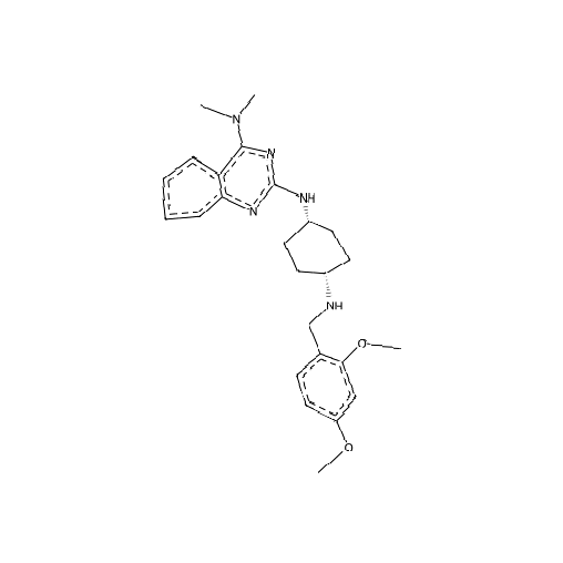 COc1ccc(CN[C@H]2CC[C@@H](Nc3nc(N(C)C)c4ccccc4n3)CC2)c(OC)c1